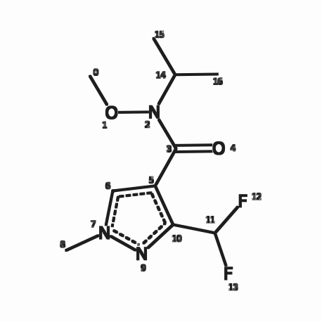 CON(C(=O)c1cn(C)nc1C(F)F)C(C)C